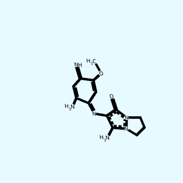 COC1=C/C(=N\c2c(N)n3n(c2=O)CCC3)C(N)=CC1=N